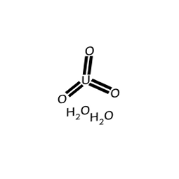 O.O.[O]=[U](=[O])=[O]